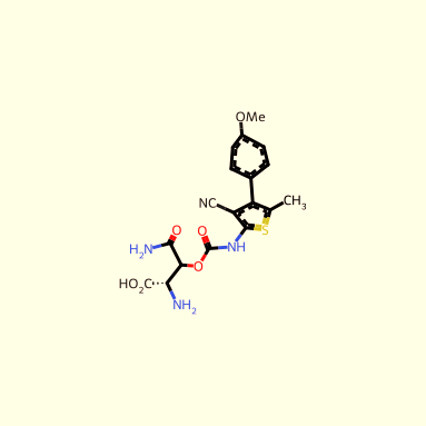 COc1ccc(-c2c(C)sc(NC(=O)OC(C(N)=O)[C@H](N)C(=O)O)c2C#N)cc1